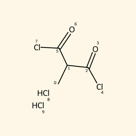 CC(C(=O)Cl)C(=O)Cl.Cl.Cl